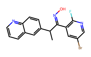 CC(C(=NO)c1cc(Br)cnc1F)c1ccc2ncccc2c1